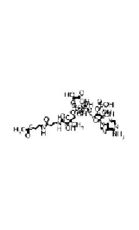 CC(=O)SCCNC(=O)CCNC(=O)[C@H](O)C(C)(C)COP(=O)(O)OP(=O)(O)OC[C@H]1O[C@@H](n2cnc3c(N)ncnc32)[C@H](O)[C@@H]1OP(=O)(O)O.O=C(O)C(=O)O